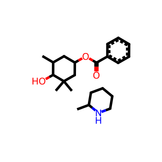 CC1CC(OC(=O)c2ccccc2)CC(C)(C)C1O.CC1CCCCN1